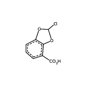 O=C(O)c1cccc2c1OC(Cl)O2